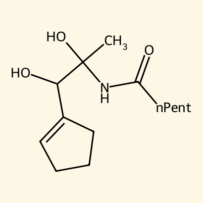 CCCCCC(=O)NC(C)(O)C(O)C1=CCCC1